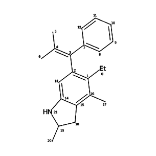 CCc1c(C(=C(C)C)c2ccccc2)cc2c(c1C)CC(C)N2